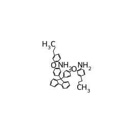 CCCc1ccc(N)c(Oc2ccc(C3(c4ccc(Oc5cc(CCC)ccc5N)cc4)c4ccccc4-c4ccccc43)cc2)c1